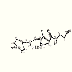 CC1=C(C(=O)NCCC#N)C=CC(=N)/C1=C\NCC1CCNCC1